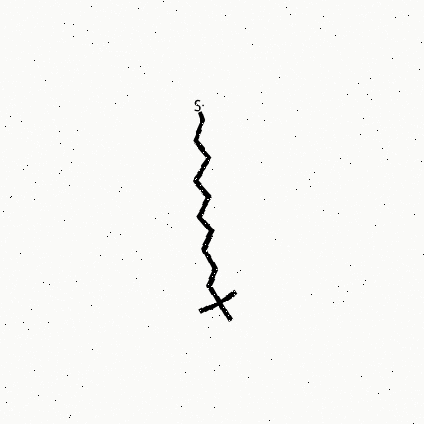 CC(C)(C)CCCCCCCCCC[S]